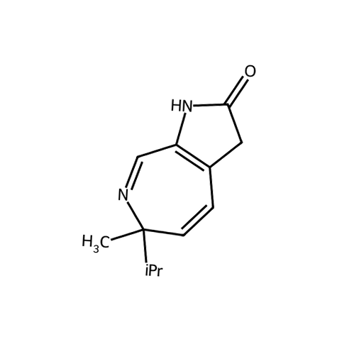 CC(C)C1(C)C=CC2=C(C=N1)NC(=O)C2